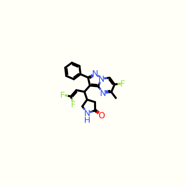 Cc1nc2c(C(C=C(F)F)C3CNC(=O)C3)c(-c3ccccc3)nn2cc1F